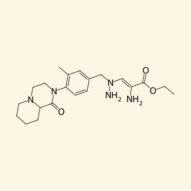 CCOC(=O)/C(N)=C/N(N)Cc1ccc(N2CCN3CCCCC3C2=O)c(C)c1